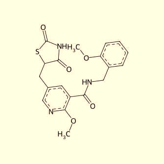 COc1ccccc1CNC(=O)c1cc(CC2SC(=O)NC2=O)cnc1OC